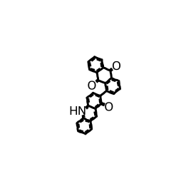 O=C1c2ccccc2C(=O)c2c1cccc2-c1ccc2[nH]c3ccccc3cc-2c1=O